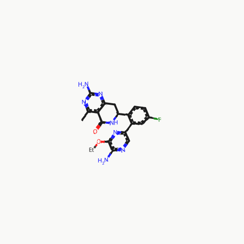 CCOc1nc(-c2cc(F)ccc2C2Cc3nc(N)nc(C)c3C(=O)N2)cnc1N